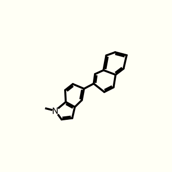 Cn1ccc2cc(-c3ccc4ccccc4c3)ccc21